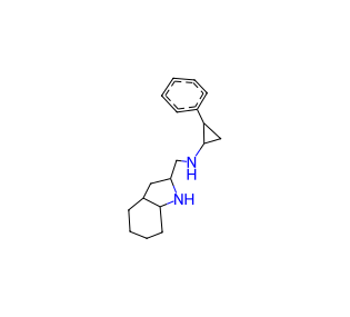 c1ccc(C2CC2NCC2CC3CCCCC3N2)cc1